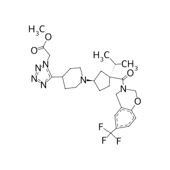 COC(=O)Cn1nnnc1C1CCN([C@@H]2CC[C@@](C(=O)N3COc4ccc(C(F)(F)F)cc4C3)(C(C)C)C2)CC1